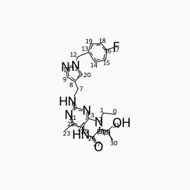 CCN1c2nc(NCc3cnn(Cc4ccc(F)cc4)c3)nc(C)c2NC(=O)[C@@H]1[C@H](C)O